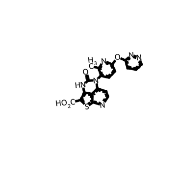 Cc1nc(Oc2cccnn2)ccc1N1C(=O)Nc2c(C(=O)O)sc3nccc1c23